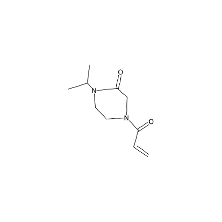 C=CC(=O)N1CCN(C(C)C)C(=O)C1